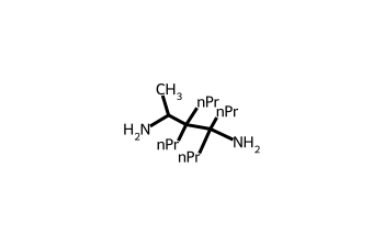 CCCC(N)(CCC)C(CCC)(CCC)C(C)N